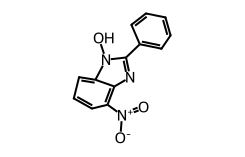 O=[N+]([O-])c1cccc2c1nc(-c1ccccc1)n2O